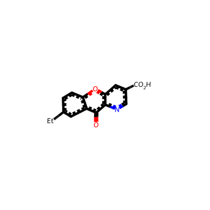 CCc1ccc2oc3cc(C(=O)O)cnc3c(=O)c2c1